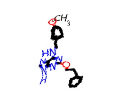 COc1ccc(CNc2nc(OCCc3ccccc3)nc3[nH]cnc23)cc1